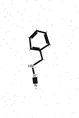 N#[N+]NCc1ccccc1